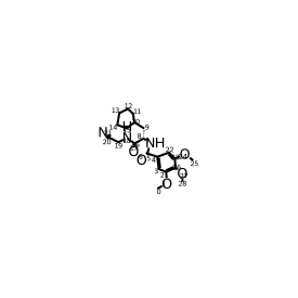 COc1cc(C(=O)N[C@@H](CC2CCCCC2)C(=O)NCC#N)cc(OC)c1OC